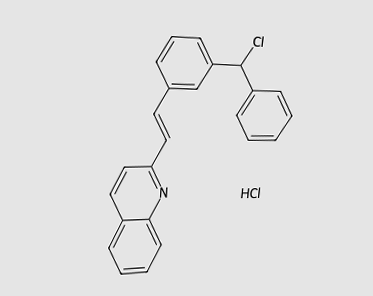 Cl.ClC(c1ccccc1)c1cccc(/C=C/c2ccc3ccccc3n2)c1